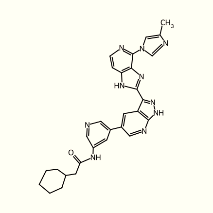 Cc1cn(-c2nccc3[nH]c(-c4n[nH]c5ncc(-c6cncc(NC(=O)CC7CCCCC7)c6)cc45)nc23)cn1